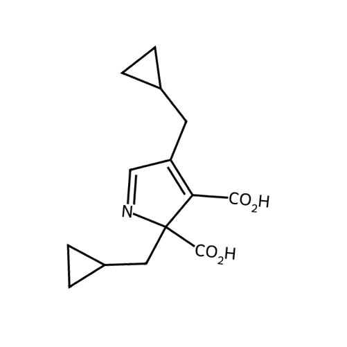 O=C(O)C1=C(CC2CC2)C=NC1(CC1CC1)C(=O)O